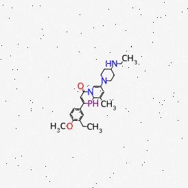 CCNC1CCN(C2=CN3C(=O)C=C(c4ccc(OC)c(CC)c4)PC3C(C)=C2)CC1